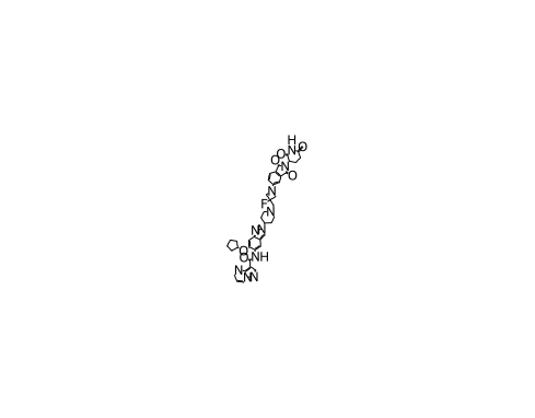 O=C1CCC(N2C(=O)c3ccc(N4CC(F)(CN5CCC(n6cc7cc(NC(=O)c8cnn9cccnc89)c(OC8CCCC8)cc7n6)CC5)C4)cc3C2=O)C(=O)N1